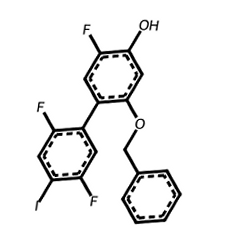 Oc1cc(OCc2ccccc2)c(-c2cc(F)c(I)cc2F)cc1F